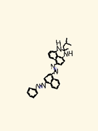 CC(C)CC1(C)Nc2cccc3c(/N=N/c4ccc(/N=N/c5ccccc5)c5ccccc45)ccc(c23)N1